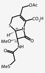 CO[C@@]1(NC(=O)CSC)C(=O)N2C(C(=O)O)=C(COC(C)=O)CS[C@@H]21